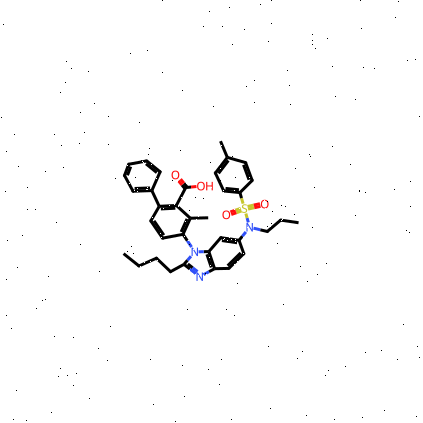 CCCCc1nc2ccc(N(CCC)S(=O)(=O)c3ccc(C)cc3)cc2n1-c1ccc(-c2ccccc2)c(C(=O)O)c1C